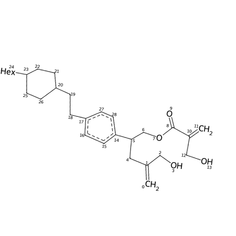 C=C(CO)CC(COC(=O)C(=C)CO)c1ccc(CCC2CCC(CCCCCC)CC2)cc1